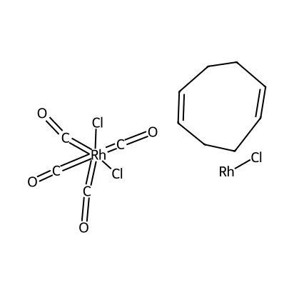 C1=CCCC=CCC1.O=[C]=[Rh]([Cl])([Cl])(=[C]=O)(=[C]=O)=[C]=O.[Cl][Rh]